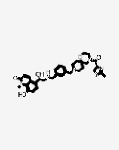 Cc1nc(C(=O)N2CCOC3(CCN(Cc4cccc(CNC[C@H](O)c5ccc(O)c6c5ccc(=O)n6C)c4)CC3)C2)cs1